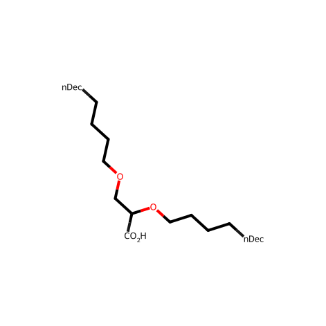 CCCCCCCCCCCCCCOCC(OCCCCCCCCCCCCCC)C(=O)O